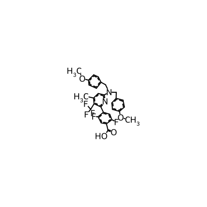 COc1ccc(CN(Cc2ccc(OC)cc2)c2cc(C)c(C(F)(F)F)c(-c3cc(F)c(C(=O)O)cc3F)n2)cc1